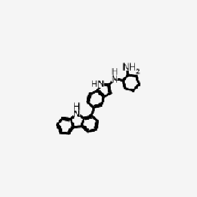 NC1CCCCC1Nc1cc2cc(-c3cccc4c3[nH]c3ccccc34)ccc2[nH]1